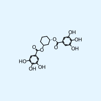 O=C(O[C@H]1CCC[C@H](OC(=O)c2cc(O)c(O)c(O)c2)C1)c1cc(O)c(O)c(O)c1